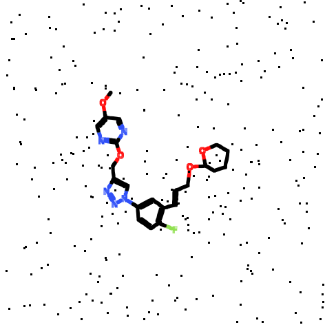 COc1cnc(OCc2cn(-c3ccc(F)c(C=CCOC4CCCCO4)c3)nn2)nc1